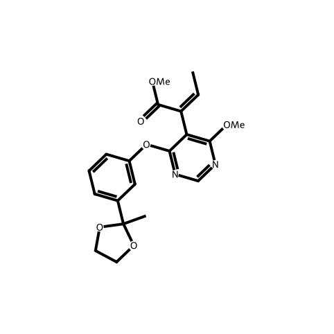 CC=C(C(=O)OC)c1c(OC)ncnc1Oc1cccc(C2(C)OCCO2)c1